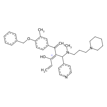 C=C/C(O)=C(/C(=C)c1ccc(OCc2ccccc2)c(C)c1)C(c1ccncc1)N(C)CCCN1CCCCC1